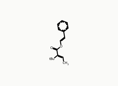 CC=C(C(=O)OC=Cc1ccccc1)C(C)(C)C